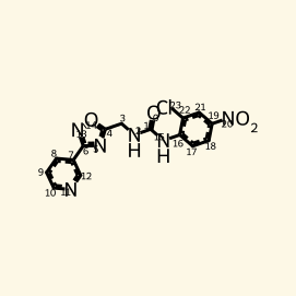 O=C(NCc1nc(-c2cccnc2)no1)Nc1ccc([N+](=O)[O-])cc1Cl